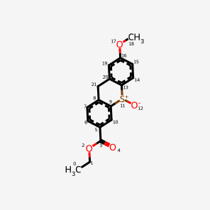 CCOC(=O)c1ccc2c(c1)[S+]([O-])c1ccc(OC)cc1C2